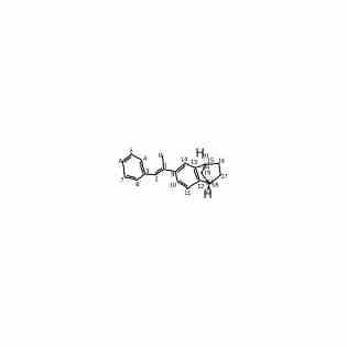 CC(=Cc1ccccc1)c1ccc2c(c1)[C@H]1CC[C@H]2C1